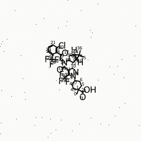 CC1(C(=O)O)CCC(n2ncc(C(=O)N(CC(=O)c3c(Cl)cccc3C(F)(F)F)C3C[C@@H]4[C@H](C3)C4(C)C)c2C(F)(F)F)CC1